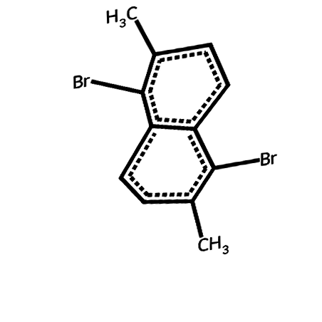 Cc1ccc2c(Br)c(C)ccc2c1Br